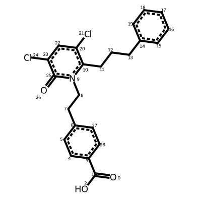 O=C(O)c1ccc(CCn2c(CCCc3ccccc3)c(Cl)cc(Cl)c2=O)cc1